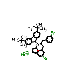 CC(C)(C)c1ccc2c(c1)-c1cc(C(C)(C)C)ccc1[CH]2[Zr]([C]1=CC=CC1)=[C](Cc1cccc(Br)c1)Cc1cccc(Br)c1.Cl.Cl